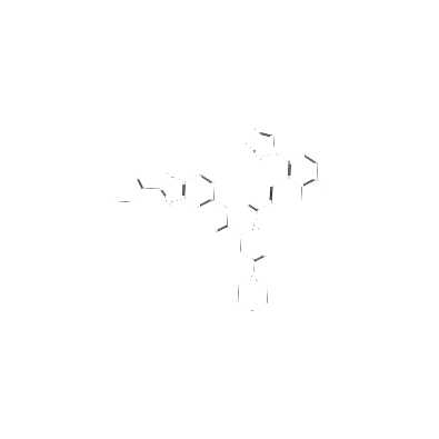 CC(C)(C)OC(=O)c1nc2cc(NC(=O)C(CC(=O)N3CCCCC3)NC(=O)C=Cc3c(-n4cnnn4)ccc(Cl)c3F)ccc2[nH]1